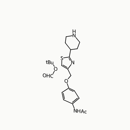 CC(=O)Nc1ccc(OCc2csc(C3CCNCC3)n2)cc1.CC(C)(C)OC=O